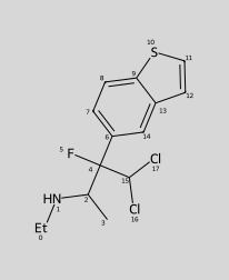 CCNC(C)C(F)(c1ccc2sccc2c1)C(Cl)Cl